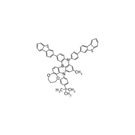 Cc1cc2c3c(c1)N(c1ccc(C(C)(C)C)cc1)c1c(ccc4c1OCCCO4)B3c1cc(-c3ccc4c(c3)sc3ccccc34)ccc1N2c1ccc(-c2ccc3c(c2)sc2ccccc23)cc1